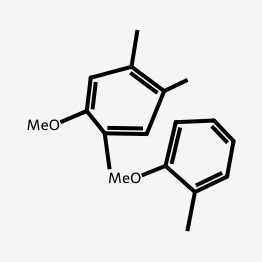 COc1cc(C)c(C)cc1C.COc1ccccc1C